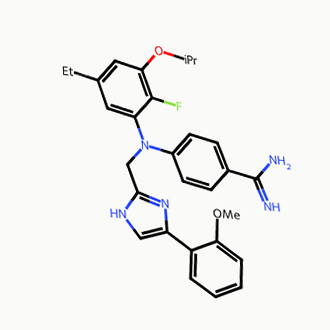 CCc1cc(OC(C)C)c(F)c(N(Cc2nc(-c3ccccc3OC)c[nH]2)c2ccc(C(=N)N)cc2)c1